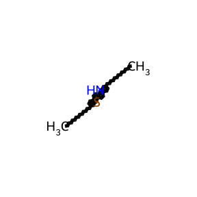 CCCCCCCCCCCCCCc1ccc2c(c1)[nH]c1c2ccc2c1ccc1c3ccc(CCCCCCCCCCCCCC)cc3sc12